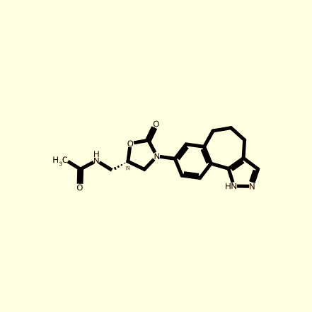 CC(=O)NC[C@H]1CN(c2ccc3c(c2)CCCc2cn[nH]c2-3)C(=O)O1